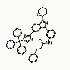 O=C(CCc1ccccc1)Nc1cccc(-c2nn(C3CCCCO3)c3ccc(-c4ncn(C(c5ccccc5)(c5ccccc5)c5ccccc5)n4)cc23)c1